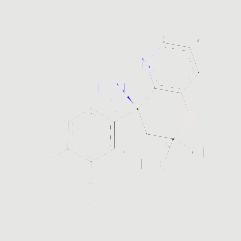 Cc1ccc([C@@]2(N)CC(C)(C)Oc3cccnc32)cc1F